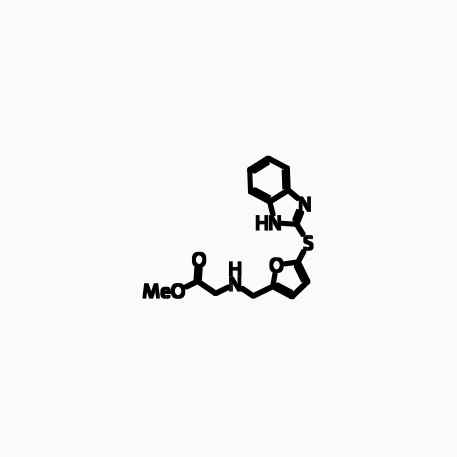 COC(=O)CNCc1ccc(Sc2nc3ccccc3[nH]2)o1